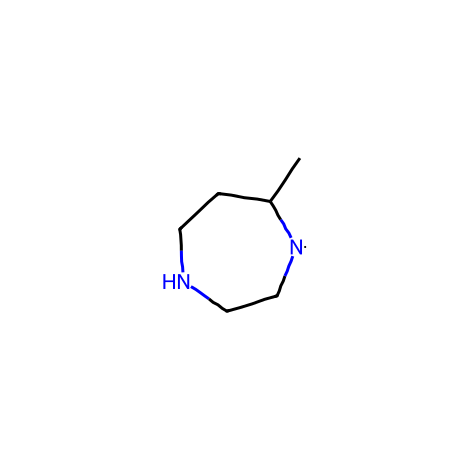 CC1CCNCC[N]1